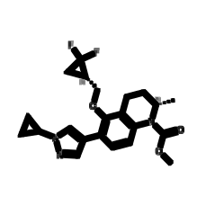 COC(=O)N1c2ccc(-c3cnn(C4CC4)c3)c(OC[C@@H]3CC3(F)F)c2CC[C@@H]1C